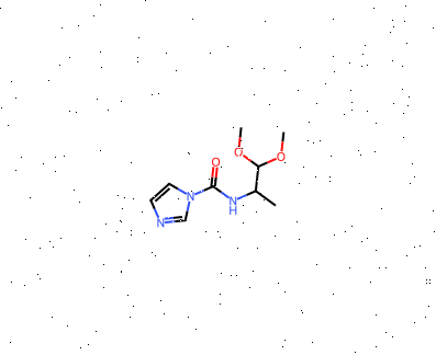 COC(OC)C(C)NC(=O)n1ccnc1